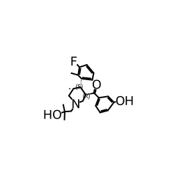 Cc1c(F)cccc1[C@H]1[CH]CN(CC(C)(C)O)C[C@@H]1C(=O)c1cccc(O)c1